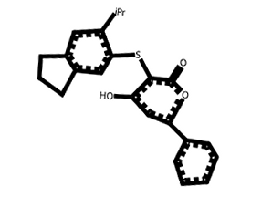 CC(C)c1cc2c(cc1Sc1c(O)cc(-c3ccccc3)oc1=O)CCC2